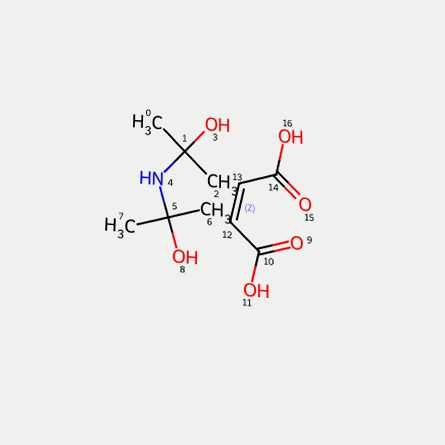 CC(C)(O)NC(C)(C)O.O=C(O)/C=C\C(=O)O